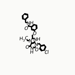 CCN1c2c(n(Cc3ccc(Cl)cc3)c(=O)[nH]c2=O)NC1COc1cccc(C(=O)NCc2ccccc2)c1